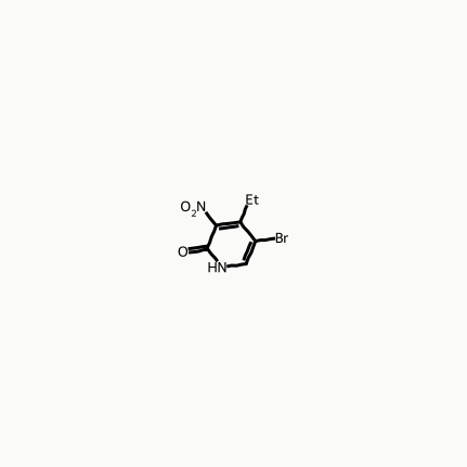 CCc1c(Br)c[nH]c(=O)c1[N+](=O)[O-]